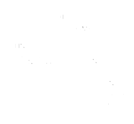 COc1c(/C=C/c2ccc(NS(C)(=O)=O)cn2)cc(-c2c[nH]c(=O)[nH]c2=O)cc1C(C)(C)C